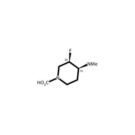 CN[C@H]1CCN(C(=O)O)C[C@H]1F